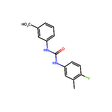 Cc1cc(NC(=O)Nc2cccc(C(=O)O)c2)ccc1F